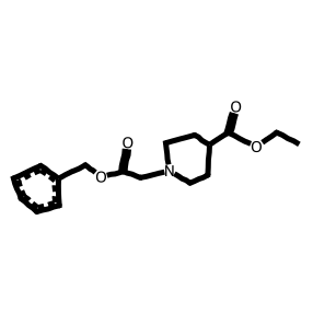 CCOC(=O)C1CCN(CC(=O)OCc2ccccc2)CC1